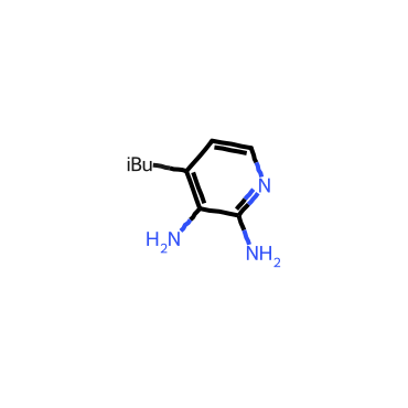 CCC(C)c1ccnc(N)c1N